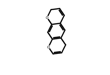 C1=Cc2cc3c(cc2OC1)OC=CC3